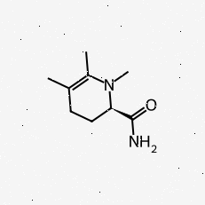 CC1=C(C)N(C)[C@@H](C(N)=O)CC1